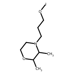 CC1OCCN(CCCOI)C1C